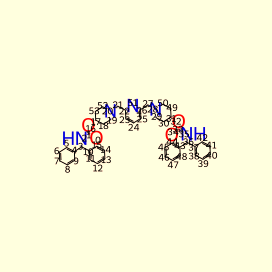 O=C(NC(c1ccccc1)c1ccccc1)OC1CCN(Cc2cccc(CN3CCC(OC(=O)NC(c4ccccc4)c4ccccc4)CC3)n2)CC1